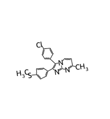 CSc1ccc(-c2nc3nc(C)ccn3c2-c2ccc(Cl)cc2)cc1